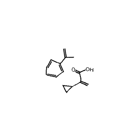 C=C(C(=O)O)C1CC1.C=C(C)c1ccccc1